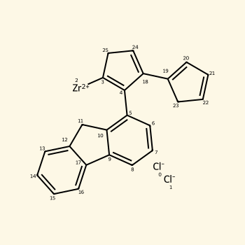 [Cl-].[Cl-].[Zr+2][C]1=C(c2cccc3c2Cc2ccccc2-3)C(C2=CC=CC2)=CC1